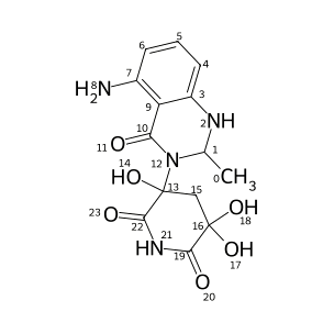 CC1Nc2cccc(N)c2C(=O)N1C1(O)CC(O)(O)C(=O)NC1=O